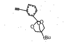 C#Cc1cccc(C23OCC(C(C)(C)C)(CO2)CO3)c1